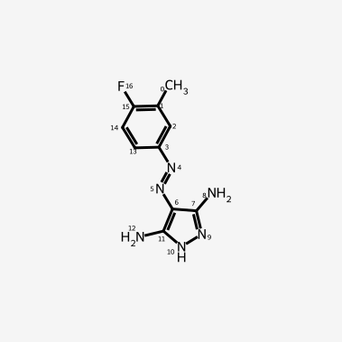 Cc1cc(N=Nc2c(N)n[nH]c2N)ccc1F